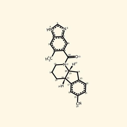 Cc1cc2[nH]cnc2cc1C(=O)N1CCC[C@H]2c3cc(C#N)ccc3C[C@H]21